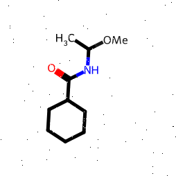 COC(C)NC(=O)C1CCCCC1